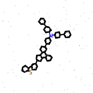 c1ccc(-c2ccc(N(c3ccc(-c4ccccc4)cc3)c3ccc(-c4ccc5c6ccc(-c7ccc8sc9ccccc9c8c7)cc6c6ccccc6c5c4)cc3)cc2)cc1